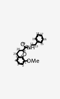 COc1cccc2c1OC(C(=O)NCCc1ccccc1)CC2